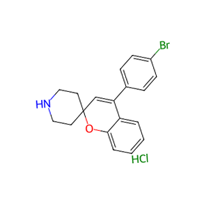 Brc1ccc(C2=CC3(CCNCC3)Oc3ccccc32)cc1.Cl